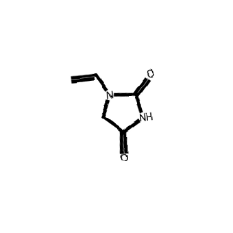 C=CN1CC(=O)NC1=O